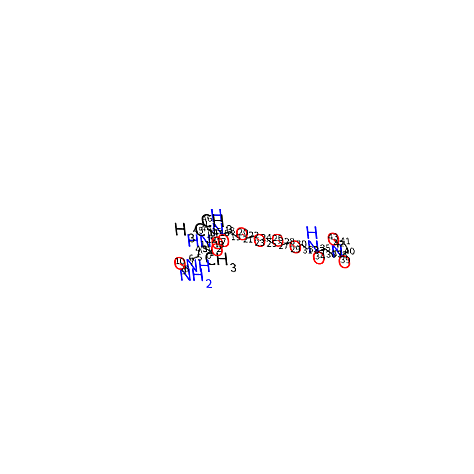 CC(=O)[C@H](CCCNC(N)=O)NC(=O)[C@@H](NC(=O)CCOCCOCCOCCOCCNC(=O)CCN1C(=O)CCC1=O)C(C)C